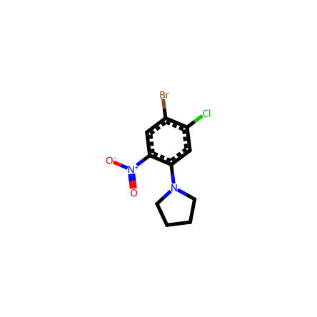 O=[N+]([O-])c1cc(Br)c(Cl)cc1N1CCCC1